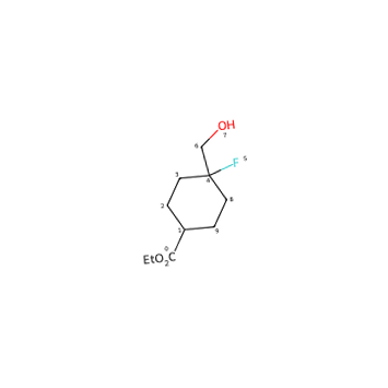 CCOC(=O)C1CCC(F)(CO)CC1